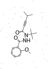 COc1ccccc1C(=O)NN(C(=O)C#CC(C)C)C(C)(C)C